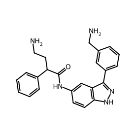 NCCC(C(=O)Nc1ccc2[nH]nc(-c3cccc(CN)c3)c2c1)c1ccccc1